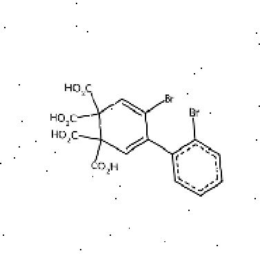 O=C(O)C1(C(=O)O)C=C(Br)C(c2ccccc2Br)=CC1(C(=O)O)C(=O)O